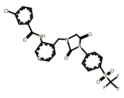 O=C(Nc1cnccc1CN1CC(=O)N(c2ccc(S(=O)(=O)C(F)(F)F)cc2)C1=O)c1cccc(Cl)c1